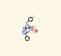 CC(C)(C)OC(=O)N1Cc2c(-c3ccccc3)nnn2[C@@H]2CN(Cc3ccc(F)cc3)C[C@H]21